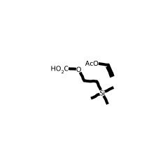 C=COC(C)=O.C[Si](C)(C)CCOC(=O)O